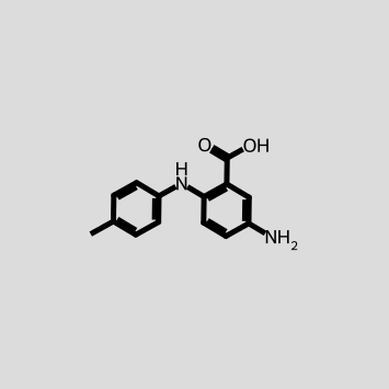 Cc1ccc(Nc2ccc(N)cc2C(=O)O)cc1